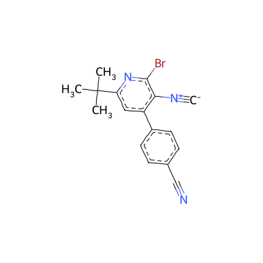 [C-]#[N+]c1c(-c2ccc(C#N)cc2)cc(C(C)(C)C)nc1Br